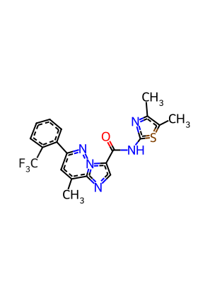 Cc1nc(NC(=O)c2cnc3c(C)cc(-c4ccccc4C(F)(F)F)nn23)sc1C